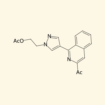 CC(=O)OCCn1cc(-c2nc(C(C)=O)cc3ccccc23)cn1